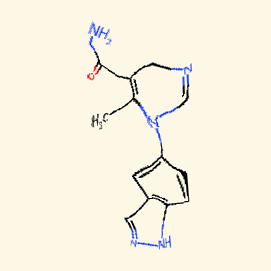 CC1=C(C(N)=O)CN=CN1c1ccc2[nH]ncc2c1